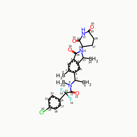 Bc1cc2c(cc1C(B)N(B)C(=O)C(F)(F)c1ccc(Cl)cc1)C(B)N(C1CCC(=O)NC1=O)C2=O